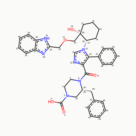 O=C(O)N1CCN(C(=O)c2ncn([C@H]3CCCC[C@]3(O)COCc3nc4ccccc4[nH]3)c2-c2ccccc2)[C@H](Cc2ccccc2)C1